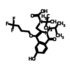 CC(C)Cn1c(CN(C(=O)O)C(C)(C)C)c(OCCCC(F)(F)F)c2cc(O)ccc2c1=O